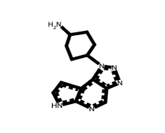 NC1CCC(n2nnc3cnc4[nH]ccc4c32)CC1